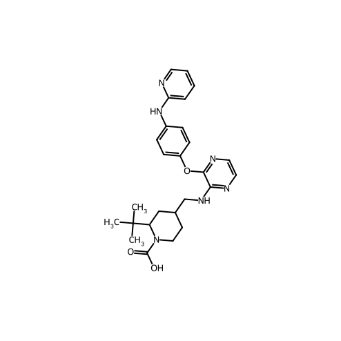 CC(C)(C)C1CC(CNc2nccnc2Oc2ccc(Nc3ccccn3)cc2)CCN1C(=O)O